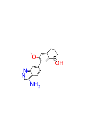 COc1cc2c(cc1-c1ccc3c(N)cnnc3c1)B(O)CCC2